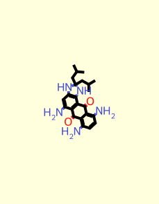 CC(C)CC1(CC(C)C)Nc2cc(N)c3c(c2N1)C(=O)c1c(N)ccc(N)c1C3=O